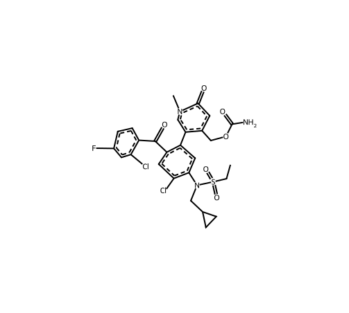 CCS(=O)(=O)N(CC1CC1)c1cc(-c2cn(C)c(=O)cc2COC(N)=O)c(C(=O)c2ccc(F)cc2Cl)cc1Cl